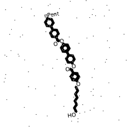 CCCCCC1CCC(C2CCC(C(=O)Oc3ccc(C4CCC(OC(=O)c5ccc(OCCCCCCCCO)cc5)CC4)cc3)CC2)CC1